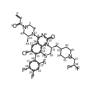 C=CC(=O)N1CCN(c2nc(=O)n3c4c(c(-c5cc(F)c(F)cc5F)c(Cl)cc24)SC[C@@H]3CC2CCN(CC(F)F)CC2)[C@@H](C)C1